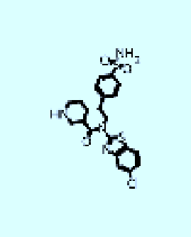 NS(=O)(=O)c1ccc(CCN(C(=O)C2CCCNC2)c2nc3cc(Cl)ccc3s2)cc1